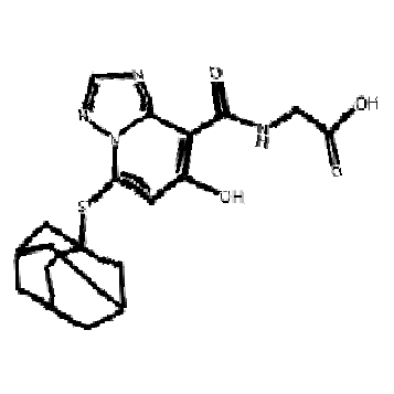 O=C(O)CNC(=O)c1c(O)cc(SC23CC4CC(CC(C4)C2)C3)n2ncnc12